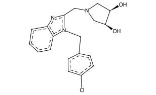 O[C@@H]1CN(Cc2nc3ccccc3n2Cc2ccc(Cl)cc2)C[C@@H]1O